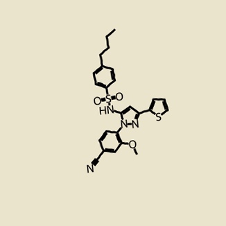 CCCCc1ccc(S(=O)(=O)Nc2cc(-c3cccs3)nn2-c2ccc(C#N)cc2OC)cc1